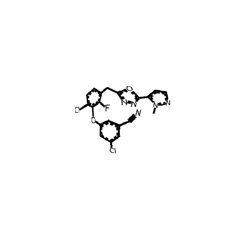 Cn1nccc1-c1nnc(Cc2ccc(Cl)c(Oc3cc(Cl)cc(C#N)c3)c2F)o1